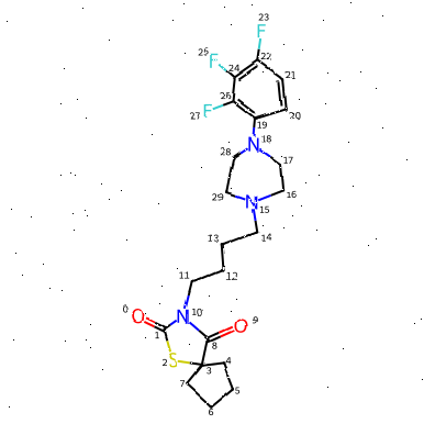 O=C1SC2(CCCC2)C(=O)N1CCCCN1CCN(c2ccc(F)c(F)c2F)CC1